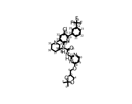 CC1(C)OCC(COc2ccnc(NC(=O)N3c4nc(-c5cccc(C(F)(F)F)c5)c(Cl)cc4N4CCC[C@H]3C4)n2)O1